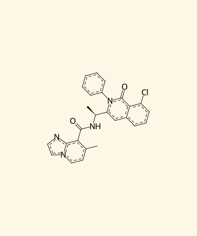 Cc1ccn2ccnc2c1C(=O)N[C@@H](C)c1cc2cccc(Cl)c2c(=O)n1-c1ccccc1